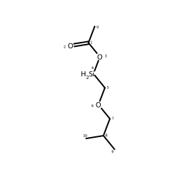 CC(=O)O[SiH2]COCC(C)C